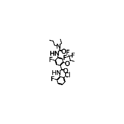 CCCN(CC)C(=O)Nc1cc(OC(C)C(F)(F)F)c(C(=O)Nc2c(F)cccc2Cl)cc1F